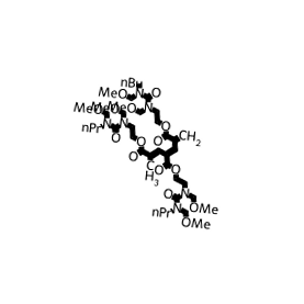 C=C(/C=C(\C=C(/C)C(=O)OCCN(COC)C(=O)N(CCC)COC)C(=O)OCCN(COC)C(=O)N(CCC)COC)C(=O)OCCN(COC)C(=O)N(CCCC)COC